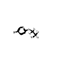 [2H]C([2H])([2H])C([2H])([2H])Oc1ccc(Br)cn1